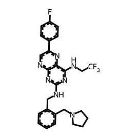 Fc1ccc(-c2cnc3nc(NCc4ccccc4CN4CCCC4)nc(NCC(F)(F)F)c3n2)cc1